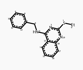 CCSc1nc(NCc2ccccc2)c2ccccc2n1